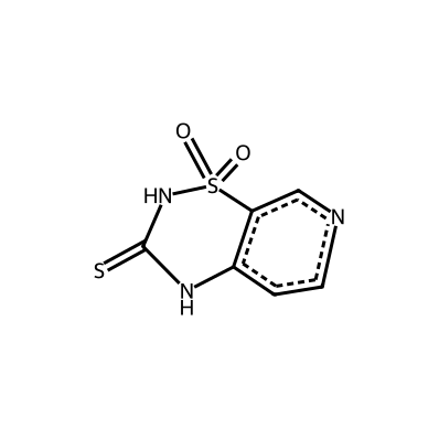 O=S1(=O)NC(=S)Nc2ccncc21